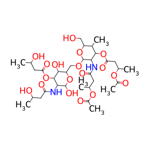 CC(=O)OC(C)CC(=O)NC1C(OCC2OC(O)C(NC(=O)CC(C)O)C(OC(=O)CC(C)O)C2O)OC(CO)C(C)C1OC(=O)CC(C)OC(C)=O